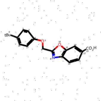 CC(C)(C)c1ccc(OCc2nc3ccc(C(=O)O)cc3o2)cc1